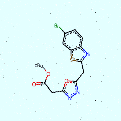 CC(C)(C)OC(=O)Cc1nnc(Cc2nc3ccc(Br)cc3s2)o1